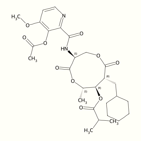 COc1ccnc(C(=O)N[C@H]2COC(=O)[C@H](CC3CCCCC3)[C@@H](OC(=O)C(C)C)[C@H](C)OC2=O)c1OC(C)=O